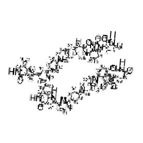 Cn1c(=O)n(C2CCC(=O)NC2=O)c2cccc(N3CCC(CN4CCN(c5ccc(-c6cc(-c7cc8c(o7)C7(CC7)CNC8=O)cc(C7CCC8(CNC(=O)c9cc(-c%10ccnc(-c%11ccc(N%12CCC%13(CC%12)CN(c%12cccc%14c%12n(C)c(=O)n%14C%12CCC(=O)NC%12=O)C%13)cc%11)n%10)[nH]c98)C7)n6)cc5)CC4)CC3)c21